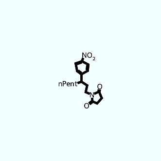 CCCCCC(CCN1C(=O)CCC1=O)c1ccc([N+](=O)[O-])cc1